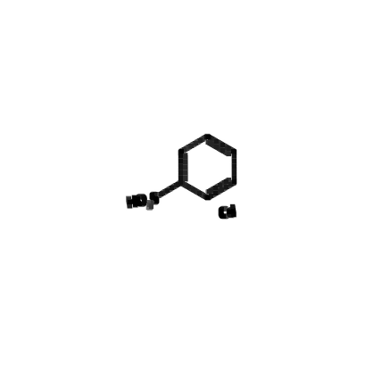 O=S(=O)(O)c1ccccc1.[Cd]